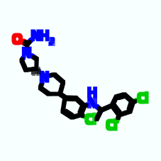 CC(Nc1cc(C2CCN([C@@H]3CCN(C(N)=O)C3)CC2)ccc1Cl)c1ccc(Cl)cc1Cl